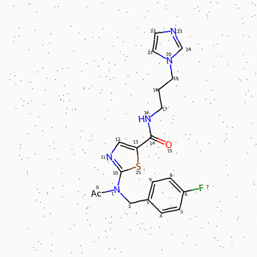 [CH2]C(=O)N(Cc1ccc(F)cc1)c1ncc(C(=O)NCCCn2ccnc2)s1